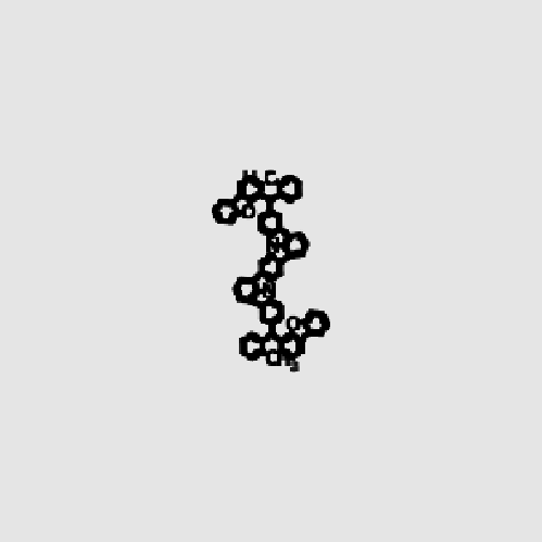 Cc1ccccc1C(c1ccc2c(c1)c1cccc3c4cc5c(cc4n2c13)c1cccc2c3cc(C(c4ccccc4C)c4cccc6c4oc4ccccc46)ccc3n5c21)c1cccc2c1oc1ccccc12